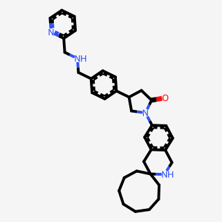 O=C1CC(c2ccc(CNCc3ccccn3)cc2)CN1c1ccc2c(c1)CC1(CCCCCCCC1)NC2